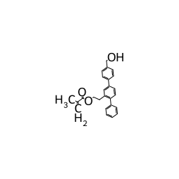 C=C(C)C(=O)OCCc1cc(-c2ccc(CO)cc2)ccc1-c1ccccc1